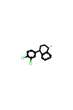 C[C@H]1CCC(c2ccc(Cl)c(Cl)c2)c2ccccc21